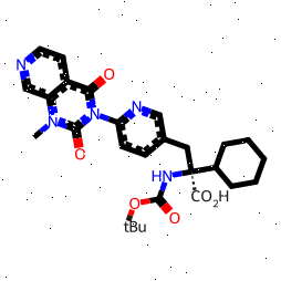 Cn1c(=O)n(-c2ccc(C[C@@](NC(=O)OC(C)(C)C)(C(=O)O)C3CCCCC3)cn2)c(=O)c2ccncc21